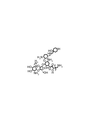 NC[C@@H]1O[C@H](O[C@H]2[C@@H](O)[C@H](O[C@@H]3[C@@H](O)[C@H](NC(=O)[C@@H](O)C(F)(F)CN)C[C@H](N)[C@H]3O[C@H]3O[C@H](CNCC4(O)CCNCC4)CC[C@H]3N)O[C@@H]2CO)[C@H](N)[C@@H](O)[C@@H]1O